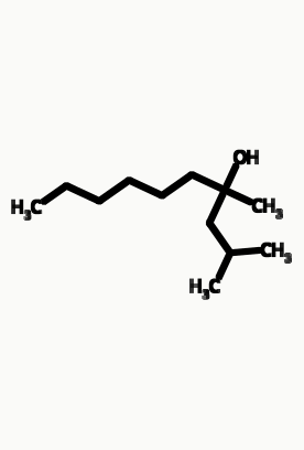 CCCCCCC(C)(O)CC(C)C